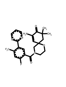 CC1(C)CC2(C=C(N)C1=O)CN(C(=O)c1cc(-c3ncccn3)c(C(F)(F)F)cc1F)CCO2